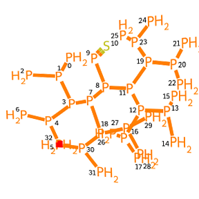 PP(P)P(P(P)P)P(P(P=S)P(P(P(P)P)P(P)P)P(P(P)P)P(P)P)P(P(P)P)P(P)P